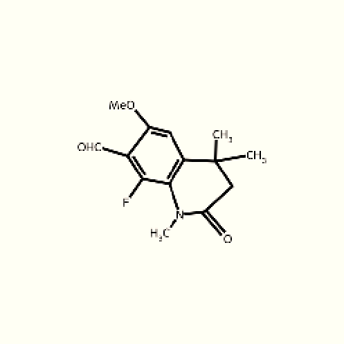 COc1cc2c(c(F)c1C=O)N(C)C(=O)CC2(C)C